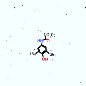 CCOC(=O)C(=O)Nc1cc(C(C)(C)C)c(O)c(C(C)(C)C)c1